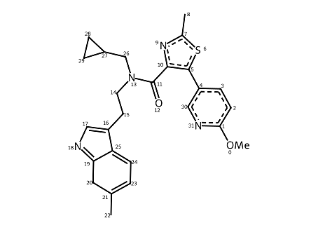 COc1ccc(-c2sc(C)nc2C(=O)N(CCC2=CN=C3CC(C)=CC=C23)CC2CC2)cn1